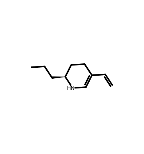 C=CC1=CN[C@@H](CCC)CC1